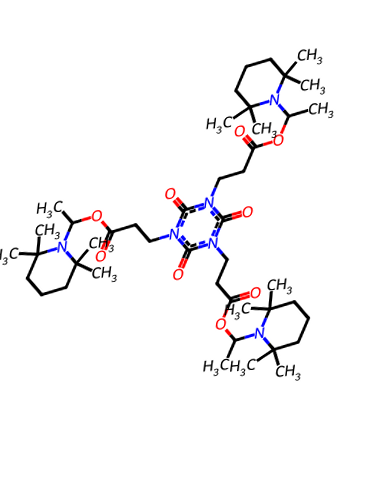 CC(OC(=O)CCn1c(=O)n(CCC(=O)OC(C)N2C(C)(C)CCCC2(C)C)c(=O)n(CCC(=O)OC(C)N2C(C)(C)CCCC2(C)C)c1=O)N1C(C)(C)CCCC1(C)C